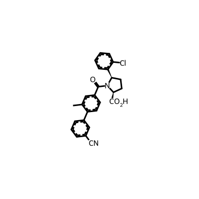 Cc1cc(C(=O)N2[C@@H](c3ccccc3Cl)CC[C@H]2C(=O)O)ccc1-c1cccc(C#N)c1